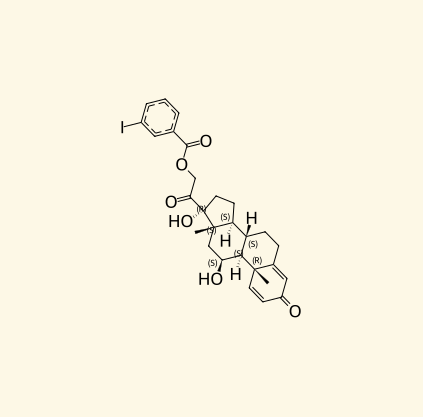 C[C@]12C=CC(=O)C=C1CC[C@@H]1[C@@H]2[C@@H](O)C[C@@]2(C)[C@H]1CC[C@]2(O)C(=O)COC(=O)c1cccc(I)c1